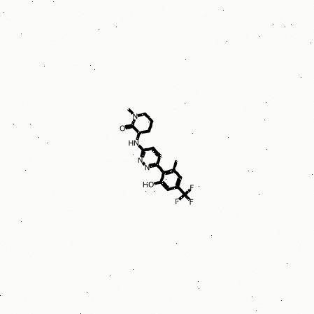 Cc1cc(C(F)(F)F)cc(O)c1-c1ccc(NC2CCCN(C)C2=O)nn1